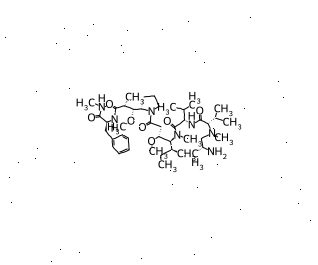 CC[C@H](C)[C@@H]([C@@H](CC(=O)N1CCC[C@H]1[C@H](OC)[C@@H](C)C(=O)N[C@@H](Cc1ccccc1)C(=O)NC)OC)N(C)C(=O)[C@@H](NC(=O)[C@H](C(C)C)N(C)C[C@@H](C)N)C(C)C